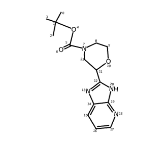 CC(C)(C)OC(=O)N1CCOC(c2nc3cccnc3[nH]2)C1